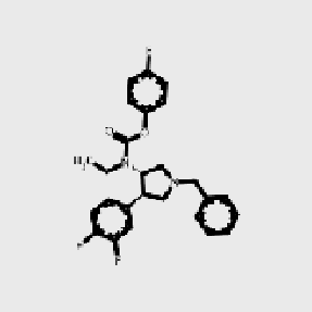 CCN(C(=O)Oc1ccc(F)cc1)[C@@H]1CN(Cc2ccccc2)C[C@H]1c1ccc(F)c(F)c1